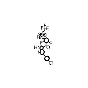 O=C(c1c(F)ccc(NS(=O)(=O)CCC(F)(F)F)c1F)c1c[nH]c2ncc(-c3ccc(Cl)cc3)cc12